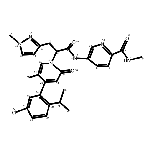 CNC(=O)c1ccc(NC(=O)C(Cc2ccn(C)n2)n2cc(C)c(-c3cc(Cl)ccc3C(C)C)cc2=O)cn1